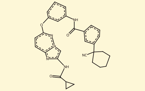 N#CC1(c2cccc(C(=O)Nc3cccc(Oc4ccc5nc(NC(=O)C6CC6)cn5n4)c3)c2)CCCCC1